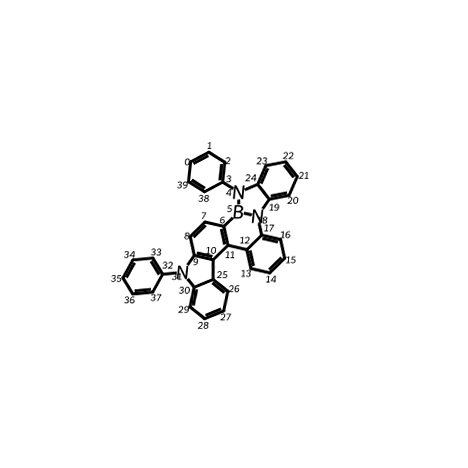 c1ccc(N2B3c4ccc5c(c4-c4ccccc4N3c3ccccc32)c2ccccc2n5-c2ccccc2)cc1